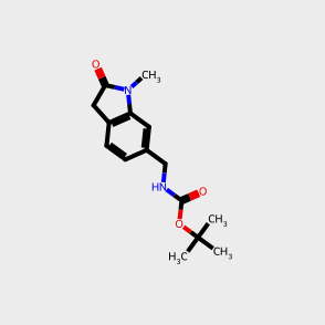 CN1C(=O)Cc2ccc(CNC(=O)OC(C)(C)C)cc21